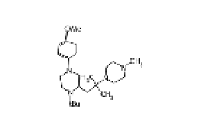 COc1ccc(N2CCN(C(C)(C)C)C(CC(C)(C)N3CCN(C)CC3)C2)cc1